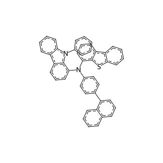 c1ccc(-n2c3ccccc3c3cccc(N(c4ccc(-c5cccc6ccccc56)cc4)c4cccc5c4sc4ccccc45)c32)cc1